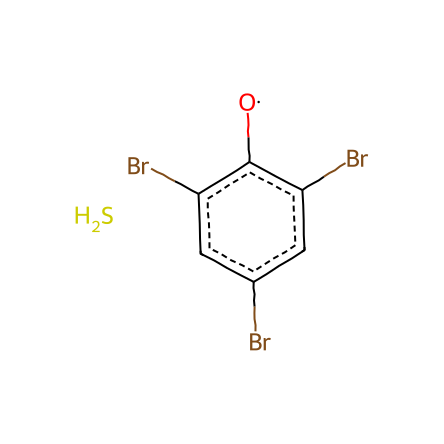 S.[O]c1c(Br)cc(Br)cc1Br